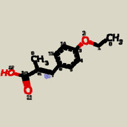 CCOc1ccc(/C=C(\C)C(=O)O)cc1